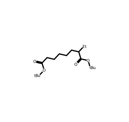 CCC(CCCCCC(=O)OC(C)(C)C)C(=O)OC(C)(C)C